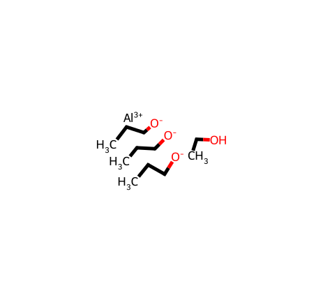 CCC[O-].CCC[O-].CCC[O-].CCO.[Al+3]